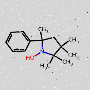 CC1(c2ccccc2)CC(C)(C)C(C)(C)N1O